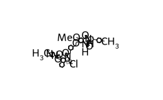 COc1cc2c(cc1OCc1cccc(CC(=O)N3C[C@@H](CCl)c4c3cc(OC(=O)N3CCN(C)CC3)c3ccccc43)c1)NC(=O)[C@@H]1CC(c3ccc(C)cc3)=CCN1C2=O